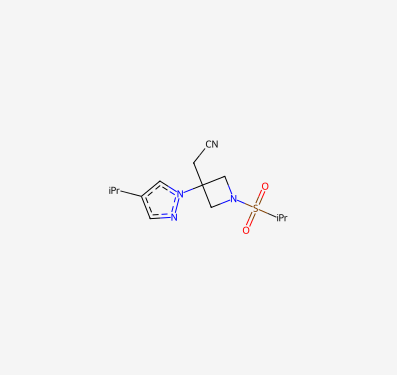 CC(C)c1cnn(C2(CC#N)CN(S(=O)(=O)C(C)C)C2)c1